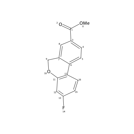 COC(=O)c1ccc2c(c1)COc1cc(F)ccc1-2